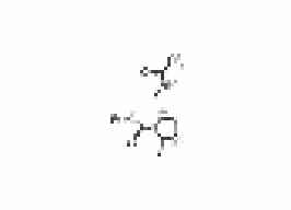 CC1[C@@H](C)C[C@@H](CNC(=O)C(F)(F)F)N1C(=O)OC(C)(C)C